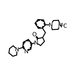 [11CH3]N1CCN(c2ccccc2CC2CCN(c3ccc(N4CCCCC4)nc3)C2=O)CC1